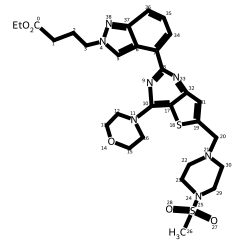 CCOC(=O)CCCn1cc2c(-c3nc(N4CCOCC4)c4sc(CN5CCN(S(C)(=O)=O)CC5)cc4n3)cccc2n1